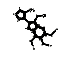 N#CCn1c(-c2nonc2N)nc2c(CI)c(CI)c(CI)cc21